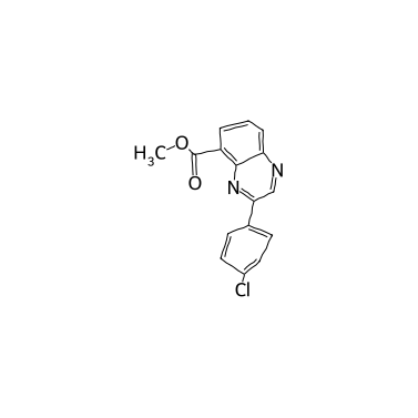 COC(=O)c1cccc2ncc(-c3ccc(Cl)cc3)nc12